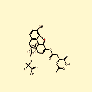 CC(=O)O[C@@H](CC(=O)OC1=CC[C@@]2(O)[C@H]3Cc4ccc(O)c5c4[C@@]2(CCN3C)[C@H]1O5)C(=O)O.O=C(O)C(F)(F)F